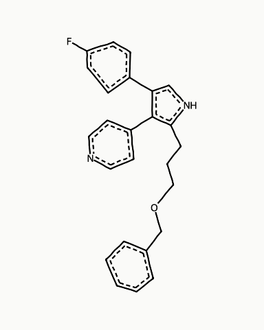 Fc1ccc(-c2c[nH]c(CCCOCc3ccccc3)c2-c2ccncc2)cc1